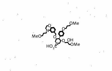 COCCCOc1ccc([C@@H]2[C@@H](OCc3ccc4c(c3)N(CCCOC)CCO4)CN(C(=O)O)C[C@H]2OC[C@H](O)COC)cc1